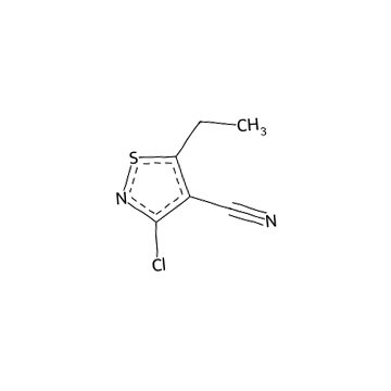 CCc1snc(Cl)c1C#N